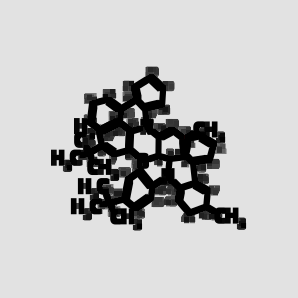 CC1=CC2C3B(c4cc(C(C)(C)C)ccc4N(c4ccccc4-c4ccccc4)C3=C1)c1cc(C(C)(C)C)ccc1N2C1=CCC(C)C=C1c1ccccc1